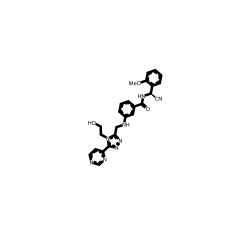 COc1ccccc1[C@@H](C#N)NC(=O)c1cccc(NCc2nnc(-c3ccncn3)n2CCO)c1